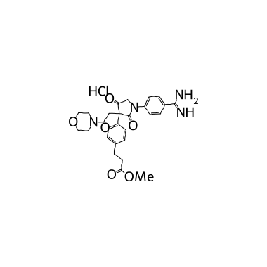 COC(=O)CCc1ccc(C2(CC(=O)N3CCOCC3)C(=O)CN(c3ccc(C(=N)N)cc3)C2=O)cc1.Cl